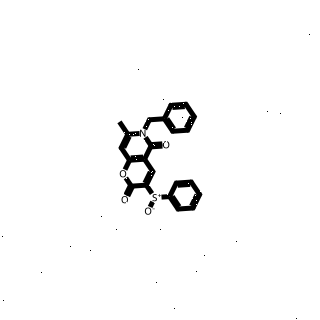 Cc1cc2oc(=O)c([S+]([O-])c3ccccc3)cc2c(=O)n1Cc1ccccc1